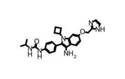 CC(C)NC(=O)Nc1ccc(-c2c(N)c3ccc(OCc4ncc[nH]4)cc3n2C2CCC2)cc1